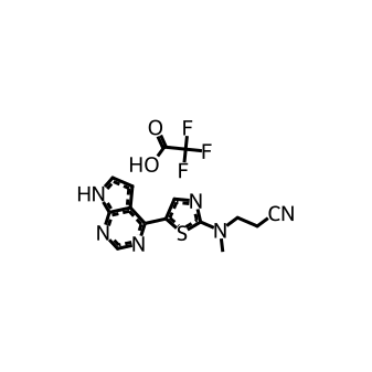 CN(CCC#N)c1ncc(-c2ncnc3[nH]ccc23)s1.O=C(O)C(F)(F)F